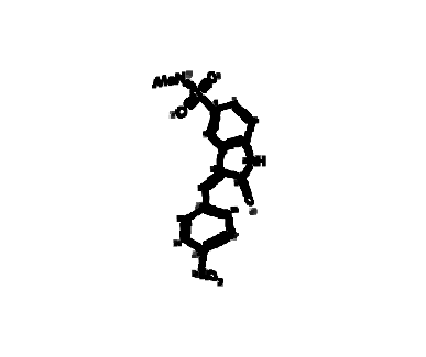 CNS(=O)(=O)c1ccc2c(c1)C(=Cc1ccc([N+](=O)[O-])cc1)C(=O)N2